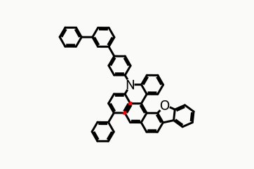 c1ccc(-c2ccc(N(c3ccc(-c4cccc(-c5ccccc5)c4)cc3)c3ccccc3-c3cccc4ccc5c6ccccc6oc5c34)cc2)cc1